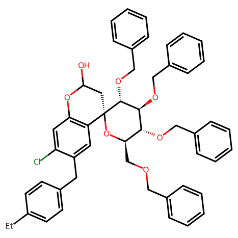 CCc1ccc(Cc2cc3c(cc2Cl)OC(O)C[C@]32O[C@H](COCc3ccccc3)[C@@H](OCc3ccccc3)[C@H](OCc3ccccc3)[C@H]2OCc2ccccc2)cc1